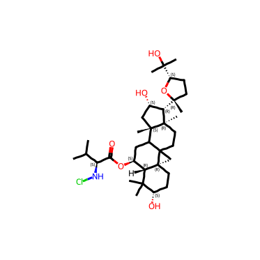 CC(C)[C@H](NCl)C(=O)O[C@H]1CC2C3(CC[C@]4(C)[C@@H]([C@@]5(C)CC[C@@H](C(C)(C)O)O5)[C@@H](O)C[C@@]24C)C[C@@]32CC[C@H](O)C(C)(C)[C@H]12